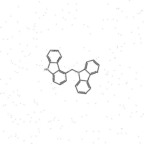 c1ccc2c(c1)[nH]c1cccc(Cn3c4ccccc4c4ccccc43)c12